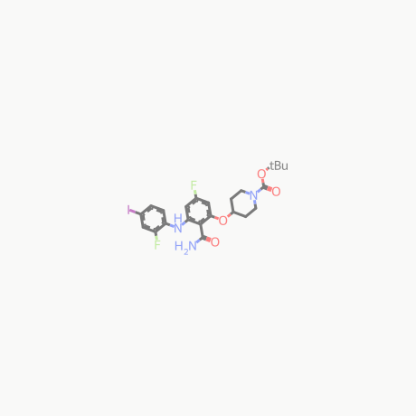 CC(C)(C)OC(=O)N1CCC(Oc2cc(F)cc(Nc3ccc(I)cc3F)c2C(N)=O)CC1